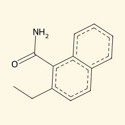 CCc1ccc2ccccc2c1C(N)=O